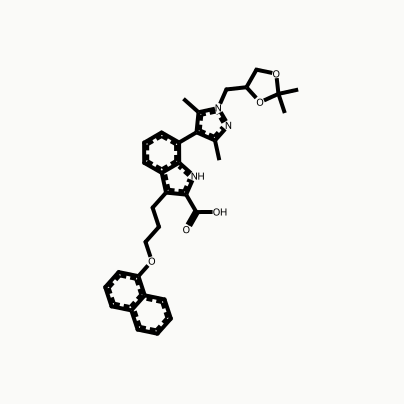 Cc1nn(CC2COC(C)(C)O2)c(C)c1-c1cccc2c(CCCOc3cccc4ccccc34)c(C(=O)O)[nH]c12